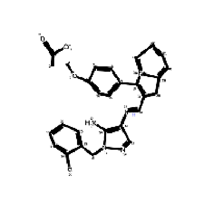 CC(=O)[O-].COc1ccc(C2=C(/C=N/c3cnn(Cc4ccccc4Cl)c3N)Cc3cccc[n+]32)cc1